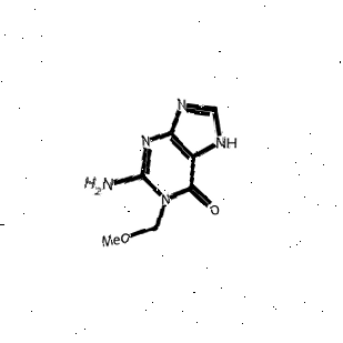 COCn1c(N)nc2nc[nH]c2c1=O